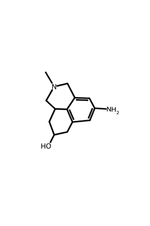 CN1Cc2cc(N)cc3c2C(CC(O)C3)C1